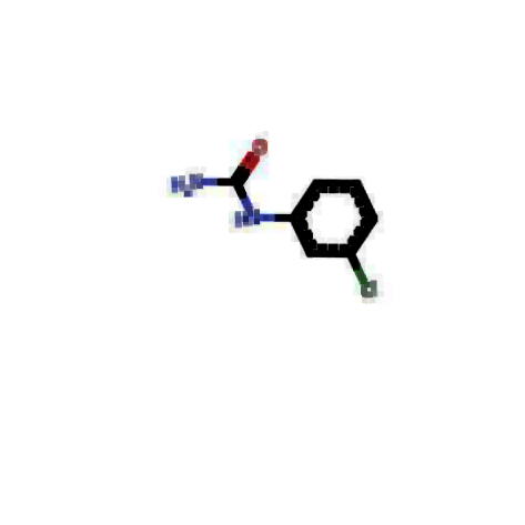 NC(=O)Nc1cccc(Cl)c1